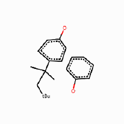 CC(C)(C)CC(C)(C)c1ccc([O])cc1.[O]c1ccccc1